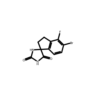 O=C1NC(=O)C2(CCc3c2ccc(Br)c3F)N1